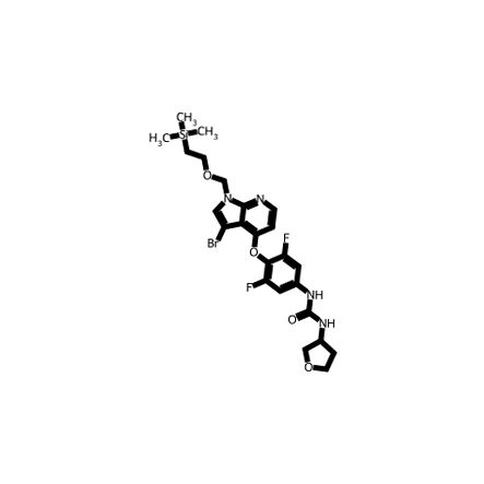 C[Si](C)(C)CCOCn1cc(Br)c2c(Oc3c(F)cc(NC(=O)NC4CCOC4)cc3F)ccnc21